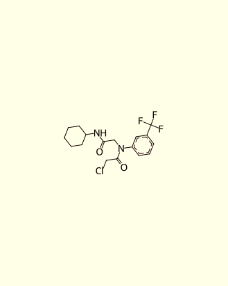 O=C(CN(C(=O)CCl)c1cccc(C(F)(F)F)c1)NC1CCCCC1